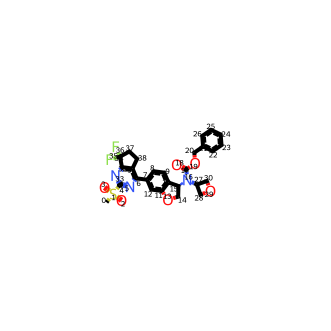 CS(=O)(=O)c1nc(-c2ccc3c(c2)OC[C@@H]3N(C(=O)OCc2ccccc2)C2COC2)c2c(n1)C(F)(F)CC2